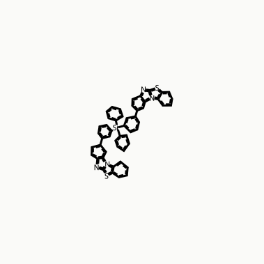 c1ccc([Si](c2ccccc2)(c2cccc(-c3ccc4nc5sc6ccccc6n5c4c3)c2)c2cccc(-c3ccc4nc5sc6ccccc6n5c4c3)c2)cc1